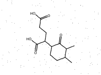 CC1CCC(C(CCC(=O)O)C(=O)O)C(=O)C1C